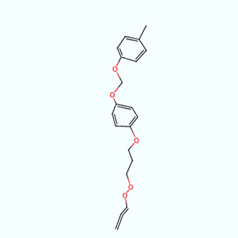 C=C=COOCCCOc1ccc(OCOc2ccc(C)cc2)cc1